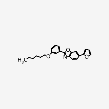 CCCCCCOc1cccc(-c2nc3ccc(-c4ccco4)cc3o2)c1